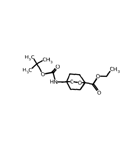 CCOC(=O)C12CCC(NC(=O)OC(C)(C)C)(CC1)CO2